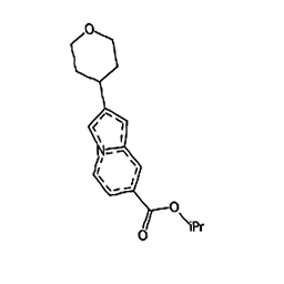 CC(C)OC(=O)c1ccn2cc(C3CCOCC3)cc2c1